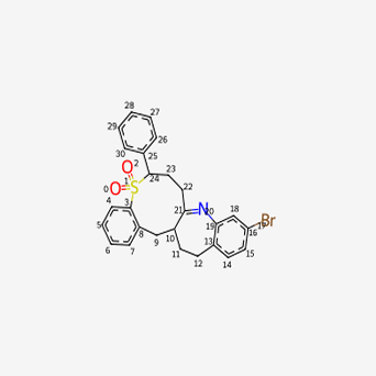 O=S1(=O)c2ccccc2CC2CCc3ccc(Br)cc3N=C2CCC1c1ccccc1